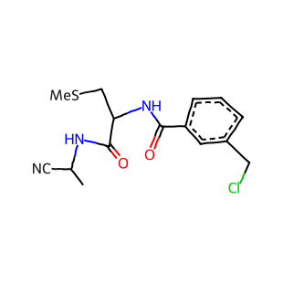 CSCC(NC(=O)c1cccc(CCl)c1)C(=O)NC(C)C#N